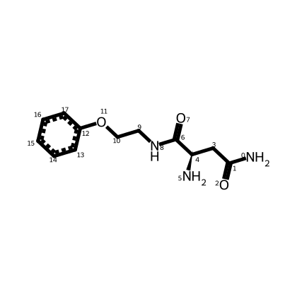 NC(=O)C[C@@H](N)C(=O)NCCOc1ccccc1